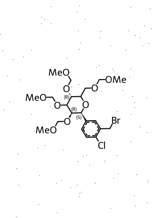 COCOCC1O[C@@H](c2ccc(Cl)c(CBr)c2)[C@@H](OCOC)C(OCOC)[C@@H]1OCOC